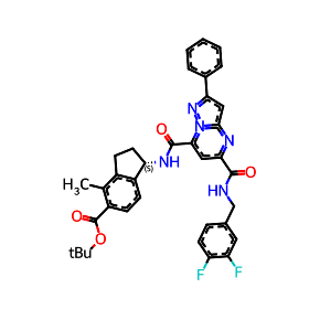 Cc1c(C(=O)OC(C)(C)C)ccc2c1CC[C@@H]2NC(=O)c1cc(C(=O)NCc2ccc(F)c(F)c2)nc2cc(-c3ccccc3)nn12